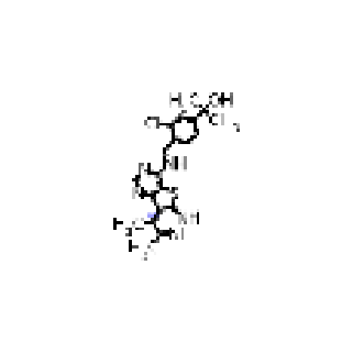 CC(=N)/C(C)=C1\C(=N)Sc2c(NCc3ccc(C(C)(C)O)cc3Cl)ncnc21